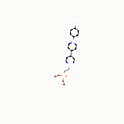 N#Cc1ccc(-[n+]2ccc(-c3cc[n+](CCP(=O)(C4CO4)C4CO4)cc3)cc2)cc1